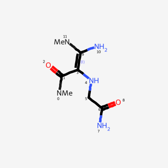 CNC(=O)/C(NCC(N)=O)=C(/N)NC